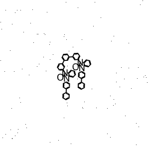 O=c1n(-c2ccc(-c3ccccc3)cc2)c2ccccc2n1-c1cccc(-c2cccc(-c3cccc(-n4c(=O)n(-c5ccc(-c6ccccc6)cc5)c5ccccc54)c3)c2)c1